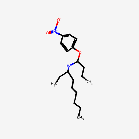 CCCCCCC(CC)NC(CCC)Oc1ccc([N+](=O)[O-])cc1